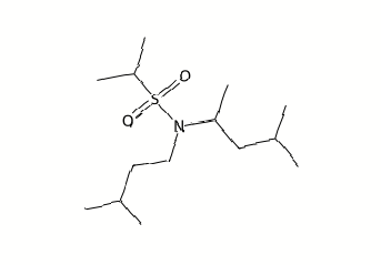 CC(C)CCN(C(C)CC(C)C)S(=O)(=O)C(C)C